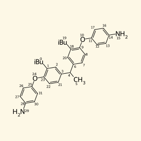 CCC(C)c1cc(C(C)c2ccc(Oc3ccc(N)cc3)c(C(C)CC)c2)ccc1Oc1ccc(N)cc1